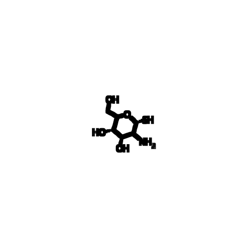 NC1[C@@H](O)[C@H](O)C(CO)O[C@@H]1S